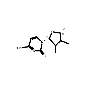 CC1C(C)[C@@H](C)O[C@H]1n1ccc(N)nc1=O